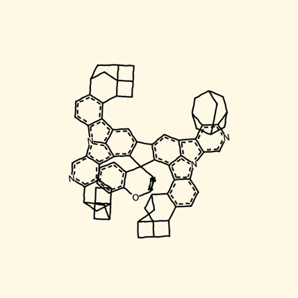 c1ccc2c(c1)Oc1ccccc1C21c2c(cc3c4c5c(ncc4n4c6ccc7c(c6c2c34)C2CC3CC4CC7C34C2)C2CC3CC(C2)CC5C3)-c2cc3c4c5c(ccc4n4c6cnc7c(c6c(c21)c34)C1CC2CC3CC7CC321)C1CC2CC3CC5C23C1